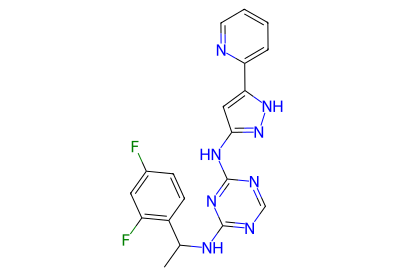 CC(Nc1ncnc(Nc2cc(-c3ccccn3)[nH]n2)n1)c1ccc(F)cc1F